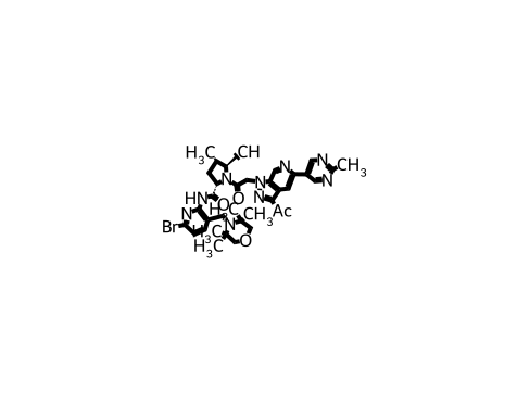 C#C[C@@H]1[C@@H](C)C[C@@H](C(=O)Nc2nc(Br)ccc2CN2C(C)(C)COCC2(C)C)N1C(=O)Cn1nc(C(C)=O)c2cc(-c3cnc(C)nc3)ncc21